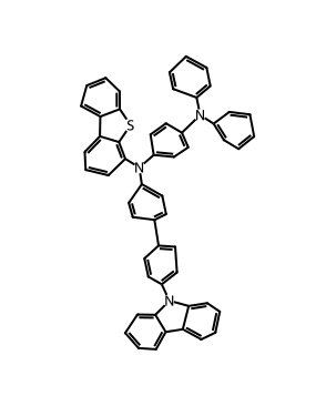 c1ccc(N(c2ccccc2)c2ccc(N(c3ccc(-c4ccc(-n5c6ccccc6c6ccccc65)cc4)cc3)c3cccc4c3sc3ccccc34)cc2)cc1